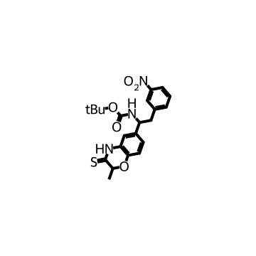 CC1Oc2ccc(C(Cc3cccc([N+](=O)[O-])c3)NC(=O)OC(C)(C)C)cc2NC1=S